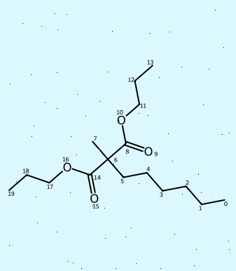 CCCCCCC(C)(C(=O)OCCC)C(=O)OCCC